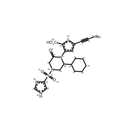 CC(C)(C)C#Cc1cc(N2C(=O)CN(S(=O)(=O)c3c[nH]cn3)CC2C2CCCCC2)c(C(=O)O)s1